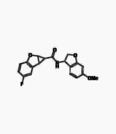 COc1ccc2c(c1)OCC2NC(=O)C1C2Oc3ccc(F)cc3C21